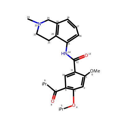 COc1cc(OC(C)C)c(C(=O)C(C)C)cc1C(=O)Nc1cccc2c1CCN(C)C2